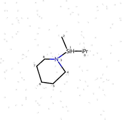 CC(C)[SiH](C)N1CCCCC1